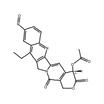 CCc1c2c(nc3ccc(N=O)cc13)-c1cc3c(c(=O)n1C2)COC(=O)[C@@]3(I)OC(C)=O